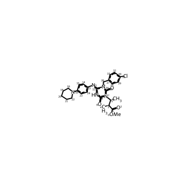 COC(=O)[C@@H](C)[C@@H](C)n1c(=O)[nH]/c(=N\c2ccc(N3CCCCC3)cc2)n(Cc2ccc(Cl)cc2)c1=O